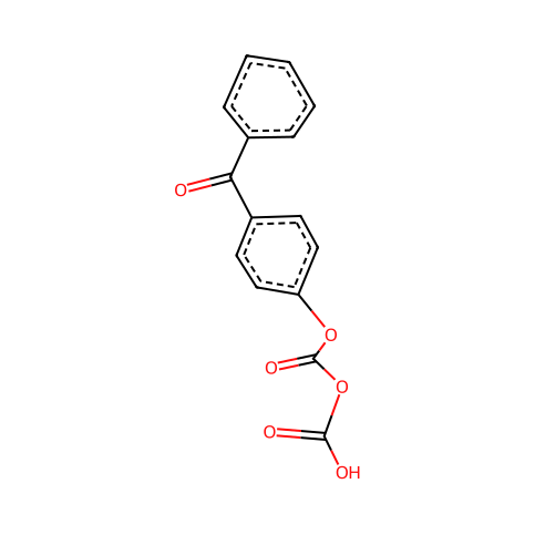 O=C(O)OC(=O)Oc1ccc(C(=O)c2ccccc2)cc1